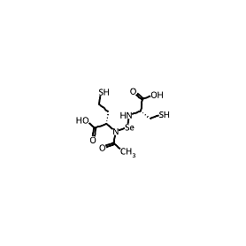 CC(=O)N([Se]N[C@@H](CS)C(=O)O)[C@@H](CCS)C(=O)O